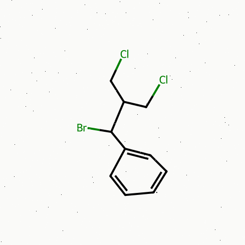 ClCC(CCl)C(Br)c1cc[c]cc1